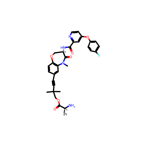 CC(C)[C@H](N)C(=O)OCC(C)(C)C#Cc1ccc2c(c1)N(C)C(=O)[C@@H](NC(=O)c1cc(Oc3ccc(F)cc3)ccn1)CO2